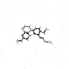 CC/C=C/c1cc(N2CCOc3cc(C=O)cnc32)ccc1C=O